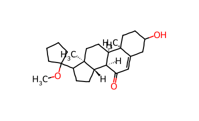 COC1(C2CC[C@H]3[C@@H]4C(=O)C=C5CC(O)CC[C@]5(C)[C@@H]4CC[C@]23C)CCCC1